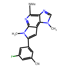 CNc1nc2c(cc(-c3cc(F)cc(C#N)c3)n2C)c2c1ncn2C